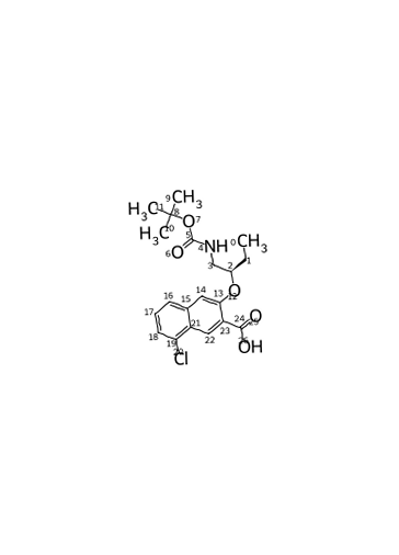 CC[C@H](CNC(=O)OC(C)(C)C)Oc1cc2cccc(Cl)c2cc1C(=O)O